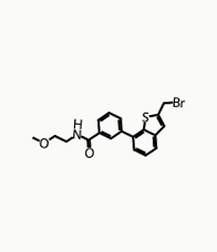 COCCNC(=O)c1cccc(-c2cccc3cc(CBr)sc23)c1